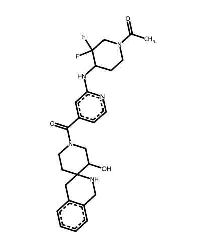 CC(=O)N1CCC(Nc2cc(C(=O)N3CCC4(Cc5ccccc5CN4)C(O)C3)ccn2)C(F)(F)C1